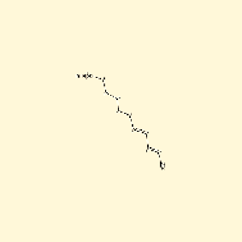 [CH2]CCCCCCCCCCCC=CC=CCC